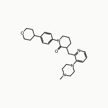 CN1CCN(c2cccnc2CC2CCCN(c3ccc(C4CCOCC4)cc3)C2=O)CC1